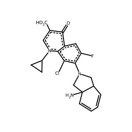 NC12C=CC=CC1CN(c1c(F)cc3c(=O)c(C(=O)O)cn(C4CC4)c3c1Cl)C2